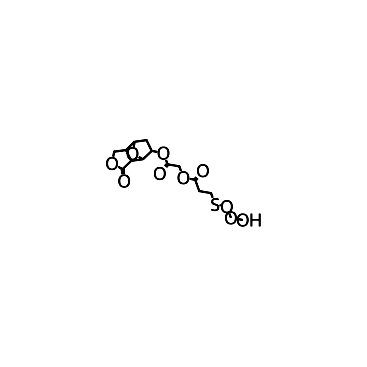 O=C(CCSOOO)OCC(=O)OC1CC2OC1C1C(=O)OCC21